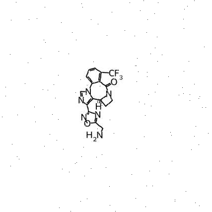 NCc1nc(-c2ncn3c2[C@@H]2CCN2C(=O)c2c-3cccc2C(F)(F)F)no1